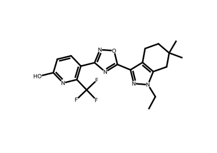 CCn1nc(-c2nc(-c3ccc(O)nc3C(F)(F)F)no2)c2c1CC(C)(C)CC2